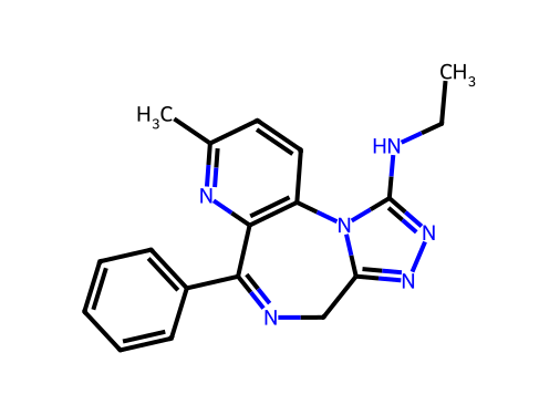 CCNc1nnc2n1-c1ccc(C)nc1C(c1ccccc1)=NC2